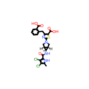 Cc1[nH]c(C(=O)N[C@@H]2[C@@H]3CN(c4nc(Cc5ccccc5C(=O)O)c(C(=O)O)s4)C[C@@H]32)c(Cl)c1Cl